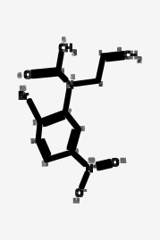 C=CCN(C(C)=O)c1cc([N+](=O)[O-])ccc1Br